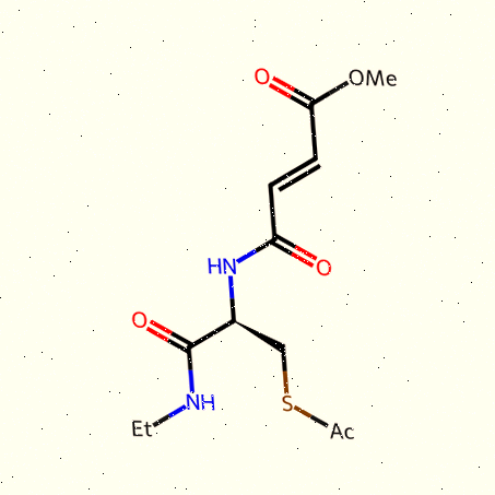 CCNC(=O)[C@H](CSC(C)=O)NC(=O)/C=C/C(=O)OC